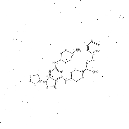 NC1CCC(Nc2nc(NC3CCN(C(C=O)OCc4ccccc4)CC3)c3ncn(C4CCCC4)c3n2)CC1